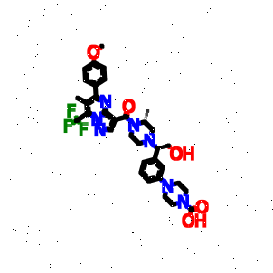 COc1ccc(-c2nc3c(C(=O)N4CCN([C@@H](CO)c5cccc(N6CCN(C(=O)O)CC6)c5)C[C@H]4C)cnn3c(C(F)(F)F)c2C)cc1